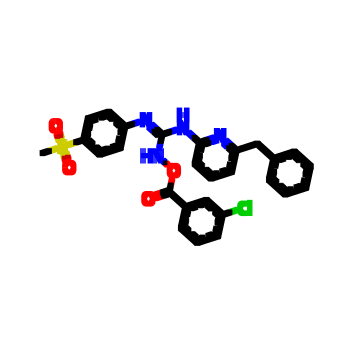 CS(=O)(=O)c1ccc(N=C(NOC(=O)c2cccc(Cl)c2)Nc2cccc(Cc3ccccc3)n2)cc1